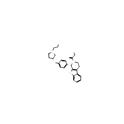 C=C(CC)N1CCc2c([nH]c3ccccc23)[C@H]1c1ccc(N[C@H]2C[C@H](C)N(CCC)C2)cc1